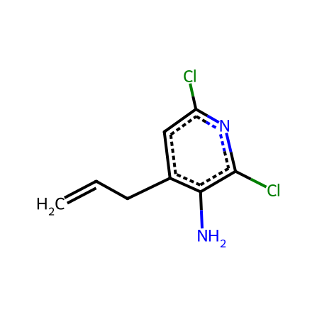 C=CCc1cc(Cl)nc(Cl)c1N